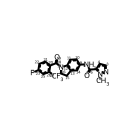 Cn1nccc1C(=O)Nc1ccc2c(c1)CCN2C(=O)c1ccc(F)cc1C(F)(F)F